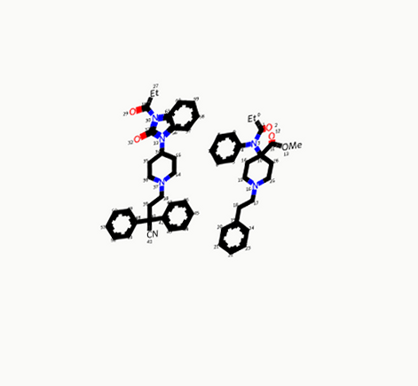 CCC(=O)N(c1ccccc1)C1(C(=O)OC)CCN(CCc2ccccc2)CC1.CCC(=O)n1c(=O)n(C2CCN(CCC(C#N)(c3ccccc3)c3ccccc3)CC2)c2ccccc21